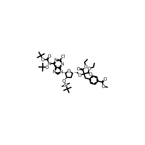 CCOC(=O)C(Cc1ccc(C(=O)OC)cc1)(OC[C@@H]1C[C@@H](O[Si](C)(C)C(C)(C)C)[C@H](n2cnc3c(N(OC(C)(C)C)C(=O)OC(C)(C)C)nc(Cl)nc32)O1)C(=O)OCC